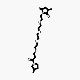 CC1CCN(C(=O)CCOCCOCCOCCOCCN2C(=O)CC(C)C2=O)C1